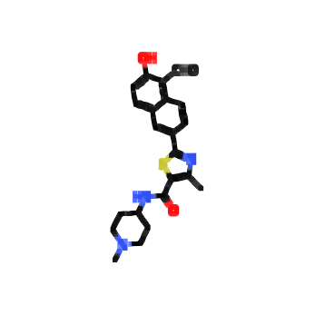 Cc1nc(-c2ccc3c(C=O)c(O)ccc3c2)sc1C(=O)NC1CCN(C)CC1